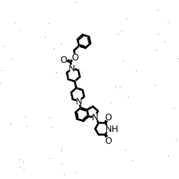 O=C1CCC(N2CCc3c(N4CCC(C5CCN(C(=O)OCc6ccccc6)CC5)CC4)cccc32)C(=O)N1